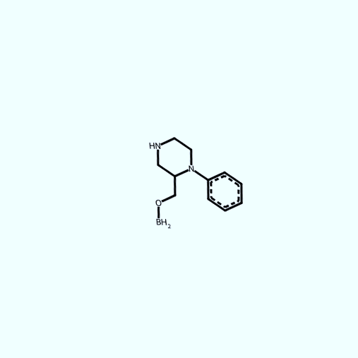 BOCC1CNCCN1c1ccccc1